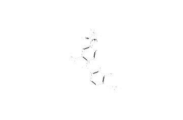 CSc1ccc(Oc2ccc(S(N)(=O)=O)cc2CO)cc1C